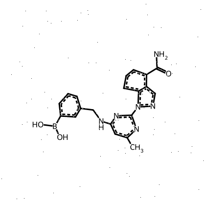 Cc1cc(NCc2cccc(B(O)O)c2)nc(-n2ncc3c(C(N)=O)cccc32)n1